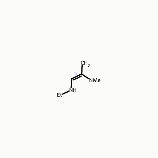 CCN/C=C(/C)NC